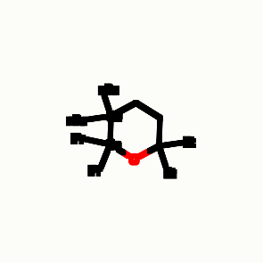 CCC[CH2][Ge]1([CH2]CCC)[CH2]CC(CC)(CC)[O][Ge]1([CH](C)C)[CH](C)C